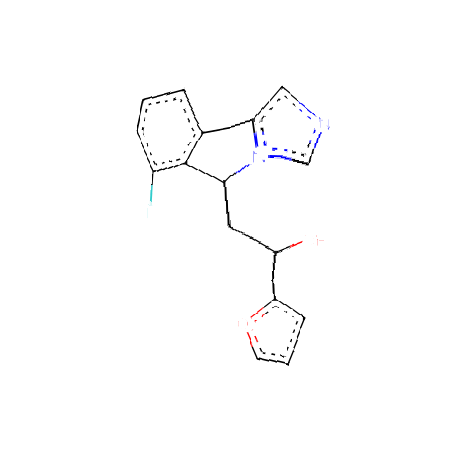 OC(CC1c2c(F)cccc2-c2cncn21)c1ccco1